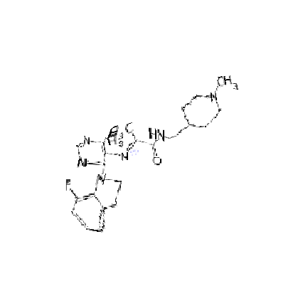 C/C(=N\c1c(C)ncnc1N1CCc2cccc(F)c21)C(=O)NCC1CCN(C)CC1